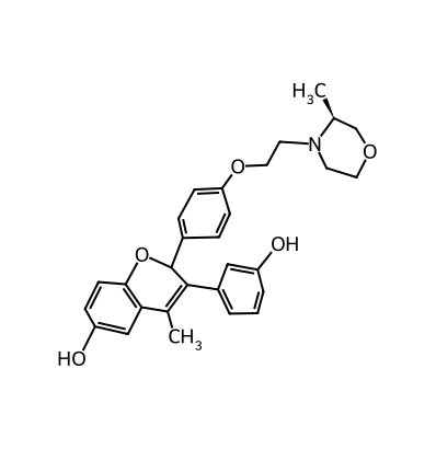 CC1=C(c2cccc(O)c2)C(c2ccc(OCCN3CCOC[C@@H]3C)cc2)Oc2ccc(O)cc21